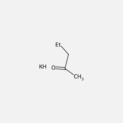 CCCC(C)=O.[KH]